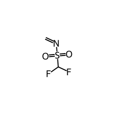 C=NS(=O)(=O)C(F)F